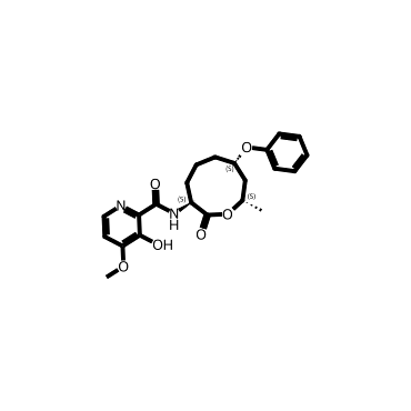 COc1ccnc(C(=O)N[C@H]2CCC[C@H](Oc3ccccc3)C[C@H](C)OC2=O)c1O